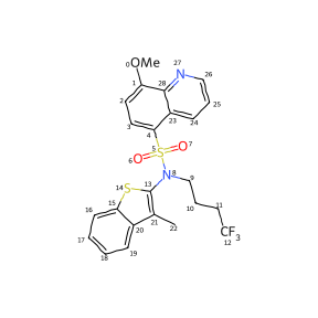 COc1ccc(S(=O)(=O)N(CCCC(F)(F)F)c2sc3ccccc3c2C)c2cccnc12